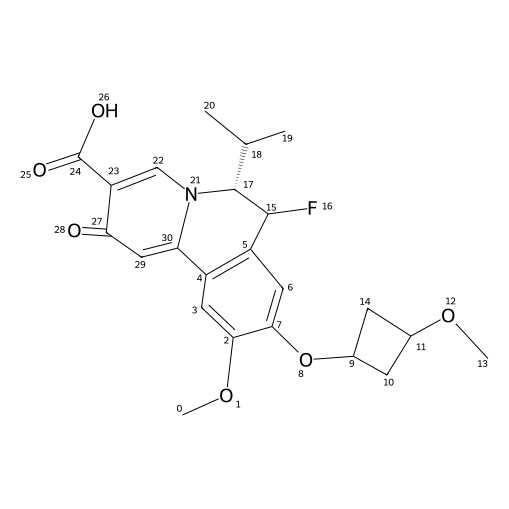 COc1cc2c(cc1OC1CC(OC)C1)C(F)[C@@H](C(C)C)n1cc(C(=O)O)c(=O)cc1-2